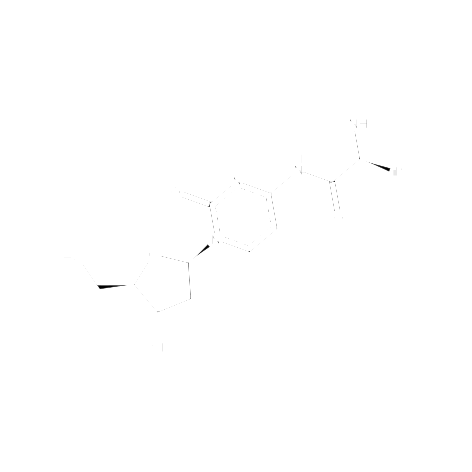 CC(C)[C@H](N)C(=O)Nc1ccn([C@H]2C[C@H](O)[C@@H](CO)O2)c(=O)n1